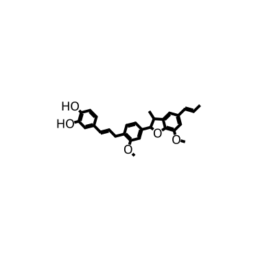 CC=Cc1cc(OC)c2c(c1)C(C)C(c1ccc(C/C=C/c3ccc(O)c(O)c3)c(OC)c1)O2